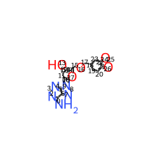 Nc1ncnc2c1ncn2[C@H]1C[C@H](O)[C@@H](COCc2ccc3c(c2)OCO3)O1